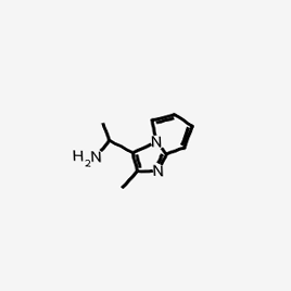 Cc1nc2ccccn2c1C(C)N